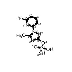 Cc1nc(OP(=O)(O)S)nn1-c1cccc(F)n1